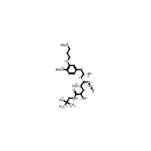 COCCCOc1cc(C[C@@H](C[C@H](N=[N+]=[N-])[C@@H](O)CC(C(=O)NCC(C)(C)C(C)=O)C(C)C)C(C)C)ccc1OC